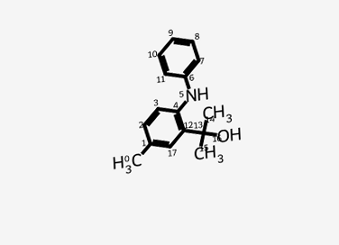 Cc1ccc(Nc2ccccc2)c(C(C)(C)O)c1